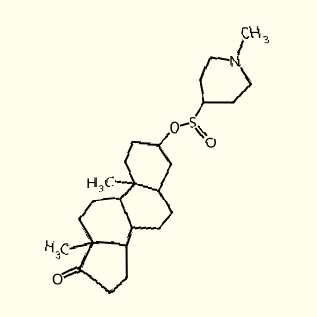 CN1CCC(S(=O)OC2CCC3(C)C(CCC4C5CCC(=O)C5(C)CCC43)C2)CC1